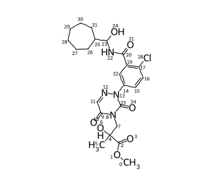 COC(=O)C(C)(O)Cn1c(=O)cnn(-c2ccc(Cl)c(C(=O)NC(O)C3CCCCCC3)c2)c1=O